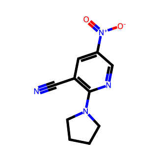 N#Cc1cc([N+](=O)[O-])cnc1N1CCCC1